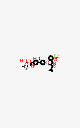 Cc1cc(OCc2c(-c3ccccc3OC(F)(F)F)noc2C2CC2)ccc1-c1ccc2c(OC(=O)O)c(C)oc2c1